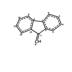 [CH]=C1c2ccccc2-c2ccccc21